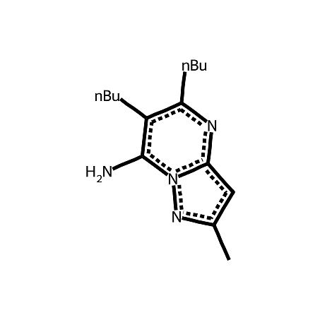 CCCCc1nc2cc(C)nn2c(N)c1CCCC